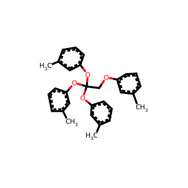 Cc1cccc(OCC(Oc2cccc(C)c2)(Oc2cccc(C)c2)Oc2cccc(C)c2)c1